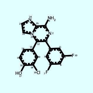 Nc1nc(-c2cc(F)cc(F)c2)c(-c2ccc(O)c(Cl)c2)n2ccnc12